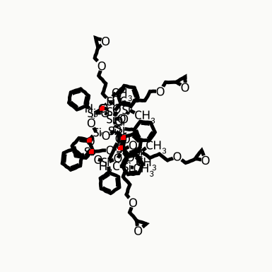 C[Si](C)(CCCOCC1CO1)O[Si]1(O[Si](C)(C)CCCOCC2CO2)O[Si]2(c3ccccc3)O[Si]3(c4ccccc4)O[Si]4(c5ccccc5)O[Si](O[Si](C)(C)CCCOCC5CO5)(O[Si](C)(C)CCCOCC5CO5)O[Si]5(c6ccccc6)O[Si](c6ccccc6)(O[Si](c6ccccc6)(O1)O[Si](c1ccccc1)(O5)O[Si](c1ccccc1)(O2)O4)O3